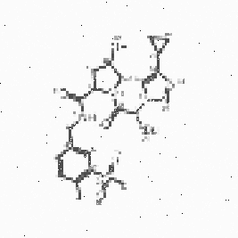 Cc1ccc(CNC(=O)C2CC(O)CN2C(=O)[C@@H](n2cc(C3CC3)nn2)C(C)(C)C)cc1S(C)(=O)=O